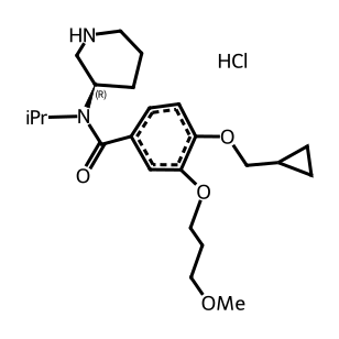 COCCCOc1cc(C(=O)N(C(C)C)[C@@H]2CCCNC2)ccc1OCC1CC1.Cl